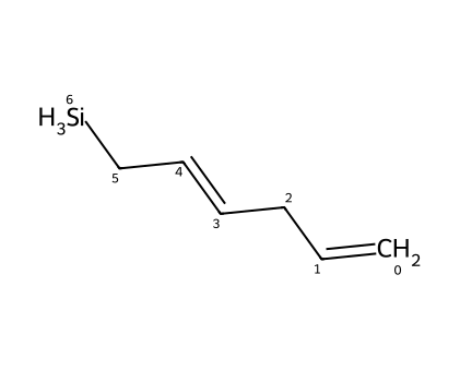 C=CCC=CC[SiH3]